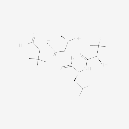 CC(C)C[C@H](NC(=O)[C@H](N)C(C)(C)S)C(=O)N[C@H](C(=O)N[C@@H](C(=O)O)C(C)(C)S)[C@@H](C)O